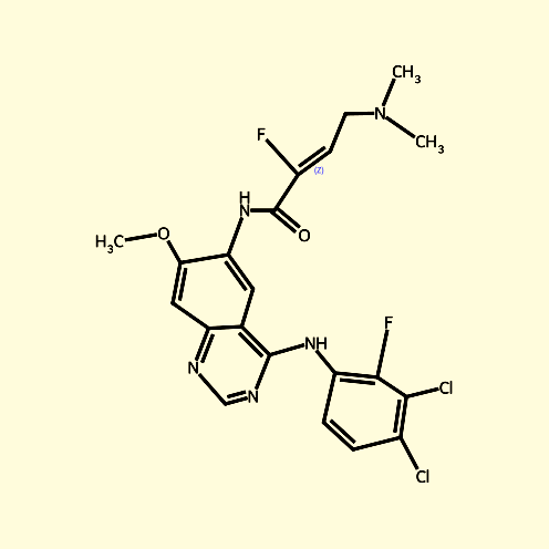 COc1cc2ncnc(Nc3ccc(Cl)c(Cl)c3F)c2cc1NC(=O)/C(F)=C/CN(C)C